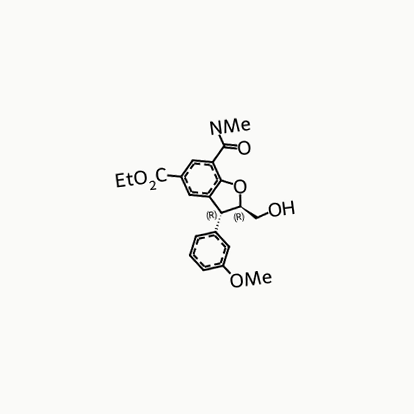 CCOC(=O)c1cc(C(=O)NC)c2c(c1)[C@@H](c1cccc(OC)c1)[C@H](CO)O2